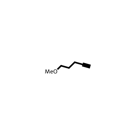 C#CCCCO[CH2]